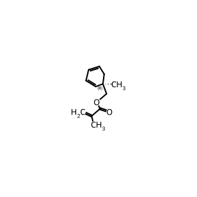 C=C(C)C(=O)OC[C@@]1(C)C=CC=CC1